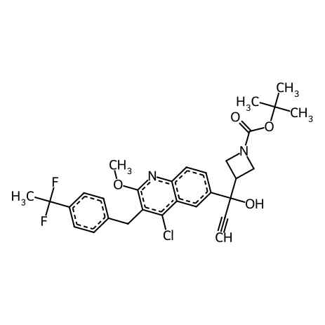 C#CC(O)(c1ccc2nc(OC)c(Cc3ccc(C(C)(F)F)cc3)c(Cl)c2c1)C1CN(C(=O)OC(C)(C)C)C1